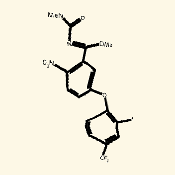 CNC(=O)N=C(OC)c1cc(Oc2ccc(C(F)(F)F)cc2I)ccc1[N+](=O)[O-]